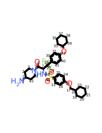 NC1CCN(C(=O)[C@H](NS(=O)(=O)c2ccc(OCC3CCCCC3)cc2)C(F)(F)c2ccc(OC3CCCCC3)cc2)CC1